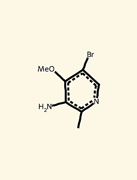 COc1c(Br)cnc(C)c1N